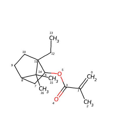 C=C(C)C(=O)OC1CC2CCC1(CC)C2(C)C